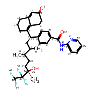 CC(C[C@@H](C1=C2CCC(=O)C=C2CCC1)c1ccc(C(=O)Nc2ccccn2)cc1)[C@H](C)CC[C@@](C)(O)C(F)(F)C(F)F